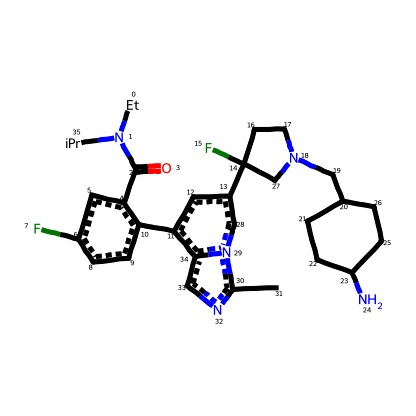 CCN(C(=O)c1cc(F)ccc1-c1cc(C2(F)CCN(CC3CCC(N)CC3)C2)cn2c(C)ncc12)C(C)C